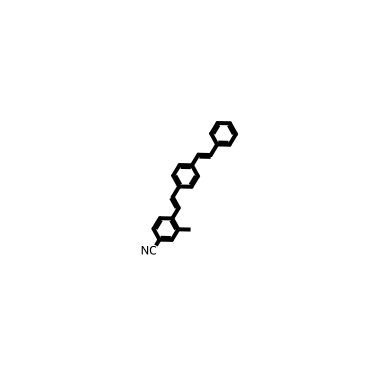 Cc1cc(C#N)ccc1C=Cc1ccc(C=Cc2ccccc2)cc1